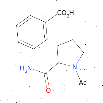 CC(=O)N1CCCC1C(N)=O.O=C(O)c1ccccc1